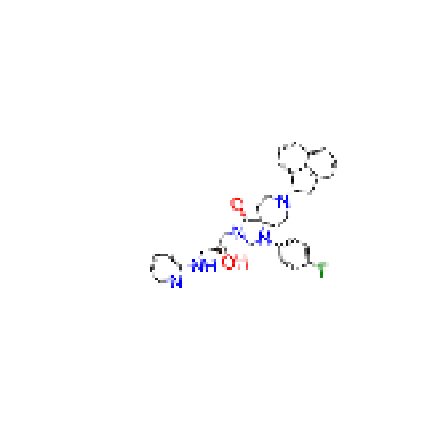 O=C1N(C[C@@H](O)CNc2ccccn2)CN(c2ccc(F)cc2)C12CCN(C1Cc3cccc4cccc1c34)CC2